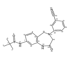 CC(C)(C)C(=O)Nc1ccc2c(c1)NC(=O)CN(c1cccc(C#N)c1)C2